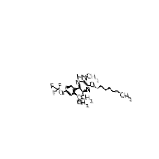 CCCCCCCOc1nc(C)c(-c2ccc(OC(F)(F)F)cc2OC)nc1NC